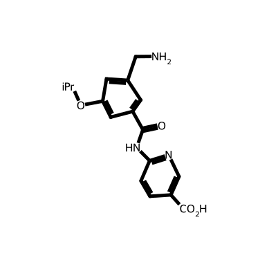 CC(C)Oc1cc(CN)cc(C(=O)Nc2ccc(C(=O)O)cn2)c1